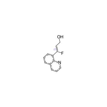 OC/C=C(\F)c1cccc2cccnc12